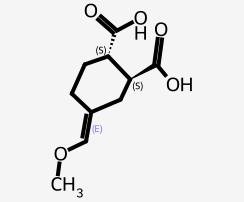 CO/C=C1\CC[C@H](C(=O)O)[C@@H](C(=O)O)C1